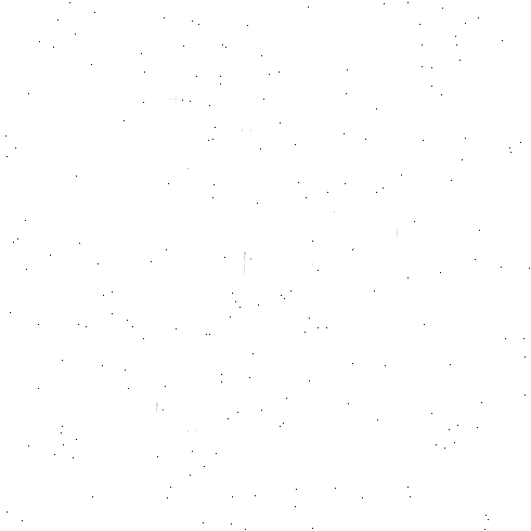 CC(C)(C)OC(=O)NC(Cc1ccc([N+](=O)[O-])cc1)CC1(C(=O)O)CC1